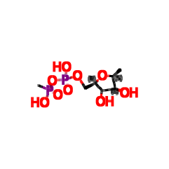 C[C@@H]1O[C@H](COP(=O)(O)OP(C)(=O)O)C(O)[C@@H]1O